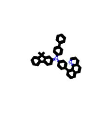 CC1(C)c2ccccc2-c2ccc(N(c3ccc(-c4ccccc4)cc3)c3ccc(-c4cccc5ccc6cccnc6c45)cc3)cc21